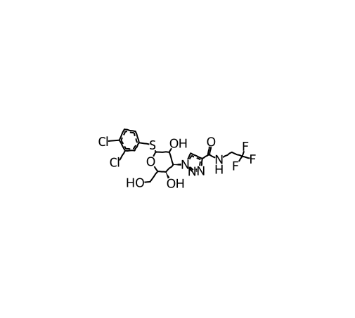 O=C(NCC(F)(F)F)c1cn([C@@H]2C(O)[C@@H](Sc3ccc(Cl)c(Cl)c3)OC(CO)[C@@H]2O)nn1